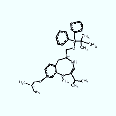 CC(C)C1=CN[C@H](CO[Si](c2ccccc2)(c2ccccc2)C(C)(C)C)Cc2ccc(OC[C@H](C)N)cc2N1C